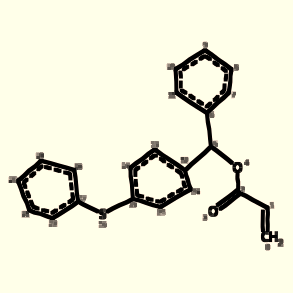 C=CC(=O)OC(c1ccccc1)c1ccc(Sc2ccccc2)cc1